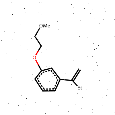 [CH2]CC(=C)c1cccc(OCCOC)c1